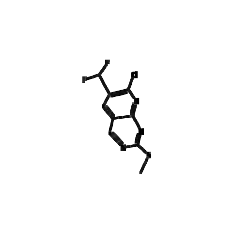 CSc1ncc2cc(C(F)F)c(Cl)nc2n1